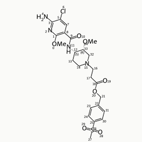 COc1nc(N)c(Cl)cc1C(=O)N[C@H]1CCN(CCC(=O)OCc2ccc(S(C)(=O)=O)cc2)C[C@H]1OC